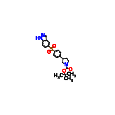 CC(C)(C)OC(=O)N1CCC(c2ccc(S(=O)(=O)c3ccc4[nH]ncc4c3)cc2)C1